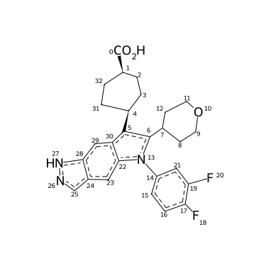 O=C(O)[C@H]1CC[C@@H](c2c(C3CCOCC3)n(-c3ccc(F)c(F)c3)c3cc4cn[nH]c4cc32)CC1